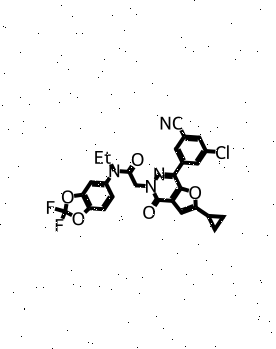 CCN(C(=O)Cn1nc(-c2cc(Cl)cc(C#N)c2)c2oc(C3CC3)cc2c1=O)c1ccc2c(c1)OC(F)(F)O2